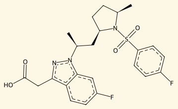 C[C@@H]1CC[C@H](C[C@H](C)n2nc(CC(=O)O)c3ccc(F)cc32)N1S(=O)(=O)c1ccc(F)cc1